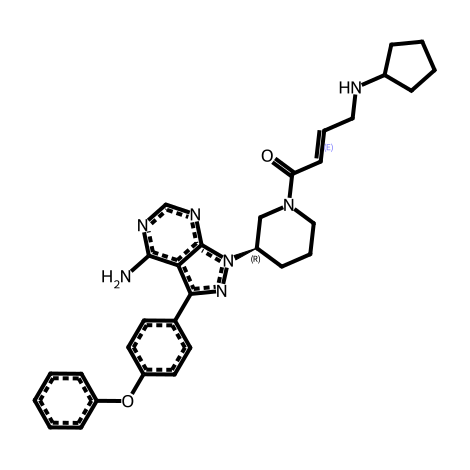 Nc1ncnc2c1c(-c1ccc(Oc3ccccc3)cc1)nn2[C@@H]1CCCN(C(=O)/C=C/CNC2CCCC2)C1